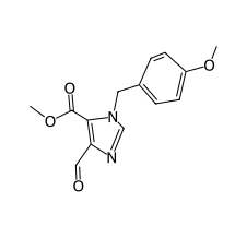 COC(=O)c1c(C=O)ncn1Cc1ccc(OC)cc1